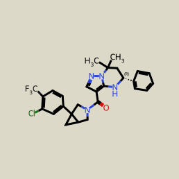 CC1(C)C[C@H](c2ccccc2)Nc2c(C(=O)N3CC4CC4(c4ccc(C(F)(F)F)c(Cl)c4)C3)cnn21